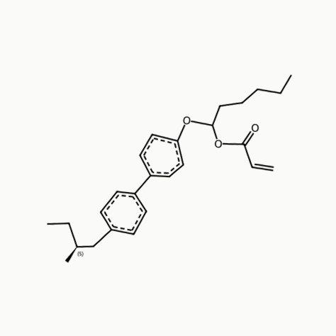 C=CC(=O)OC(CCCCC)Oc1ccc(-c2ccc(C[C@@H](C)CC)cc2)cc1